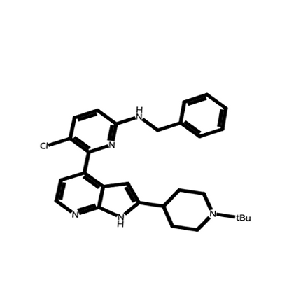 CC(C)(C)N1CCC(c2cc3c(-c4nc(NCc5ccccc5)ccc4Cl)ccnc3[nH]2)CC1